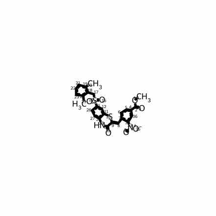 COC(=O)c1ccc(C=C2Sc3cc(S(=O)(=O)Cc4c(C)cccc4C)ccc3NC2=O)c([N+](=O)[O-])c1